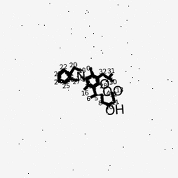 Cc1c2c(c(C(C)[C@@H]3C[C@@H](O)CC(=O)O3)c(C)c1N1CCc3ccccc3C1)OC(C)(C)C2